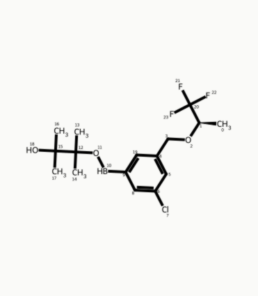 C[C@@H](OCc1cc(Cl)cc(BOC(C)(C)C(C)(C)O)c1)C(F)(F)F